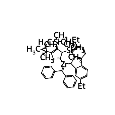 CCc1ccc2c(c1)[CH]([Zr]([C]1=CC([Si](C)(C)C)=C([Si](C)(C)C)C1[Si](C)(C)C)=[C](c1ccccc1)c1ccccc1)c1cc(CC)ccc1-2